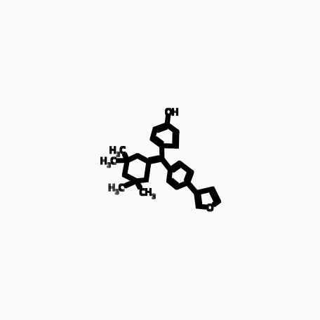 CC1(C)CC(=C(c2ccc(O)cc2)c2ccc(-c3ccoc3)cc2)CC(C)(C)C1